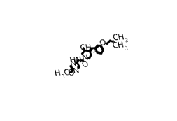 COc1cnc(NC(=O)N2CCC(=Cc3cccc(OCCC(C)C)c3)C(C)C2)cn1